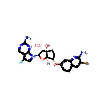 Nc1ncc2c(F)cn([C@@H]3O[C@@H]4[C@@H](Oc5ccc6cc(Br)c(N)nc6c5)CC[C@]4(O)[C@H]3O)c2n1